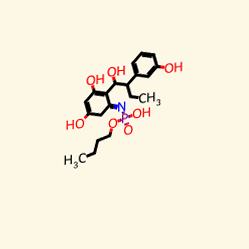 CCCCOP(=O)(O)N=C1CC(O)=CC(O)=C1C(O)C(CC)c1cccc(O)c1